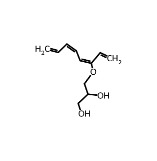 C=C/C=C\C=C(/C=C)OCC(O)CO